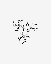 CO[Si](OC)(OC)OP(O[Si](OC)(OC)OC)O[Si](OC)(OC)OC